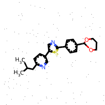 CC(C)Cc1ccc(-c2cnc(-c3ccc(C4OCCCO4)cc3)s2)cn1